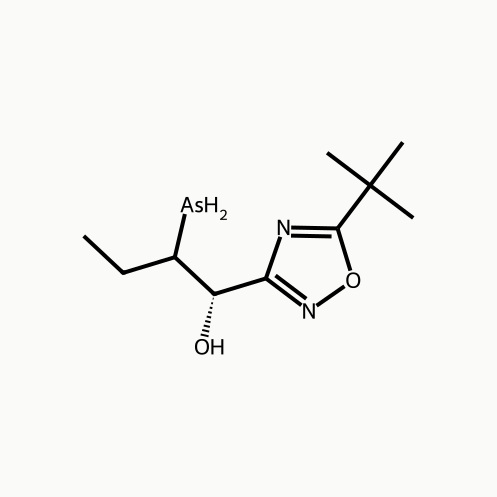 CCC([AsH2])[C@@H](O)c1noc(C(C)(C)C)n1